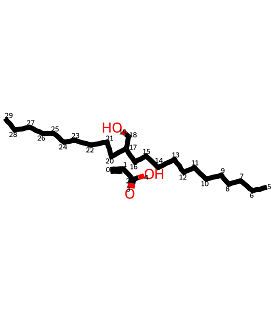 C=CC(=O)O.CCCCCCCCCCCCC(CO)CCCCCCCCCC